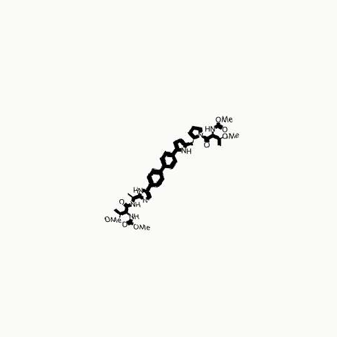 COC(=O)N[C@H](C(=O)N[C@@H](C)c1ncc(-c2ccc(-c3ccc(-c4ccc(C[C@@H]5CCCN5C(=O)[C@@H](NC(=O)OC)[C@@H](C)OC)[nH]4)cc3)cc2)[nH]1)[C@@H](C)OC